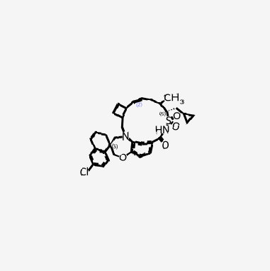 CC1C/C=C\C2CCC2CN2C[C@@]3(CCCc4cc(Cl)ccc43)COc3ccc(cc32)C(=O)NS(=O)(=O)[C@H]1CC1CC1